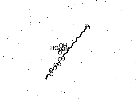 C=COOOOOOOCCCCCCCCCCC(C)C.O=P(O)(O)O